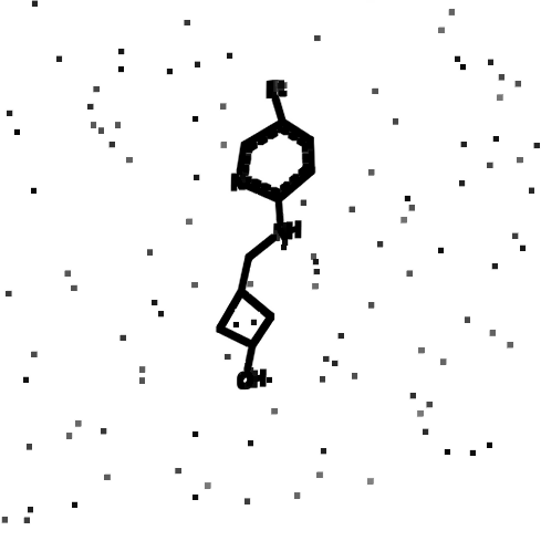 CCc1ccc(NCC2CC(O)C2)nc1